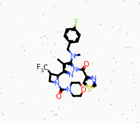 Cc1c(C2C(C(F)(F)F)CN2C(=O)N2CCOCC2)nn(C(=O)c2cscn2)c1N(C)Cc1ccc(F)cc1